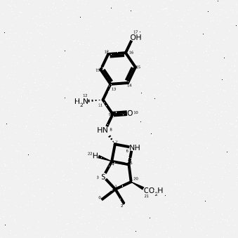 CC1(C)S[C@H]2C(N[C@H]2NC(=O)[C@H](N)c2ccc(O)cc2)[C@H]1C(=O)O